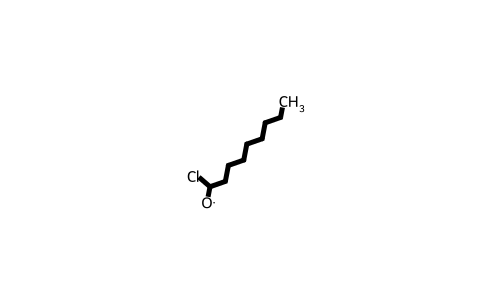 CCCCCCCCC([O])Cl